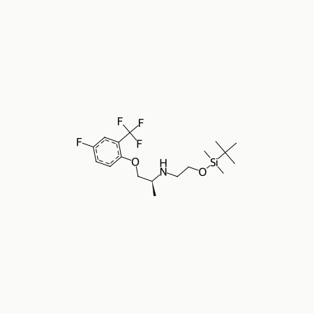 C[C@@H](COc1ccc(F)cc1C(F)(F)F)NCCO[Si](C)(C)C(C)(C)C